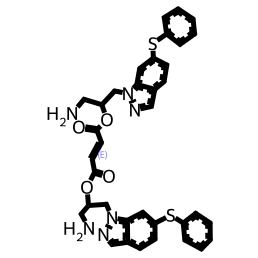 NCC(Cn1ncc2ccc(Sc3ccccc3)cc21)OC(=O)/C=C/C(=O)OC(CN)Cn1ncc2ccc(Sc3ccccc3)cc21